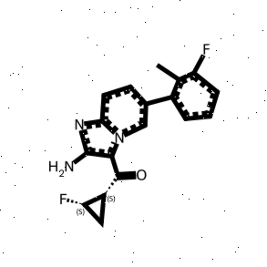 Cc1c(F)cccc1-c1ccc2nc(N)c(C(=O)[C@@H]3C[C@@H]3F)n2c1